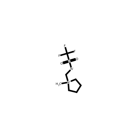 C[N+]1(C[N-]S(=O)(=O)C(F)(F)F)CCCC1